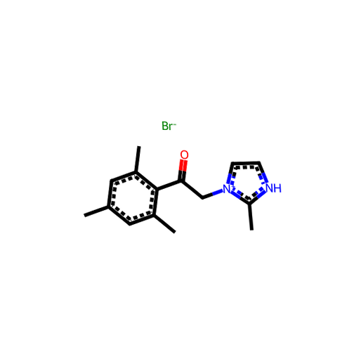 Cc1cc(C)c(C(=O)C[n+]2cc[nH]c2C)c(C)c1.[Br-]